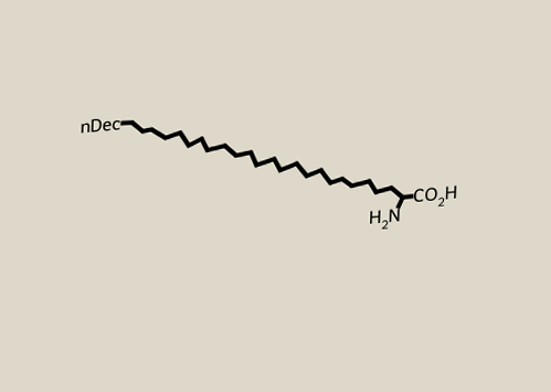 CCCCCCCCCCCCCCCCCCCCCCCCCCCCCCCCCC(N)C(=O)O